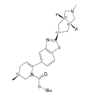 C[C@H]1CC=C(c2ccc3sc([C@H]4C[C@@H]5CN(C)C[C@@H]5C4)nc3c2)N(C(=O)OC(C)(C)C)C1